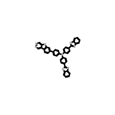 c1ccc2oc(-c3ccc(N(c4ccc(-c5ccc6c(c5)oc5cnncc56)cc4)c4ccc(-c5nc6ccccc6o5)cc4)cc3)nc2c1